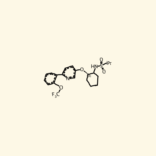 CC(C)S(=O)(=O)NC1CCCC[C@H]1Oc1ccc(-c2ccccc2OC(F)(F)F)nc1